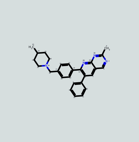 Cc1ncc2cc(-c3ccccc3)c(-c3ccc(CN4CCC(C)CC4)cc3)nc2n1